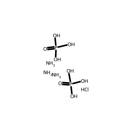 Cl.N.N.N.O=P(O)(O)O.O=P(O)(O)O